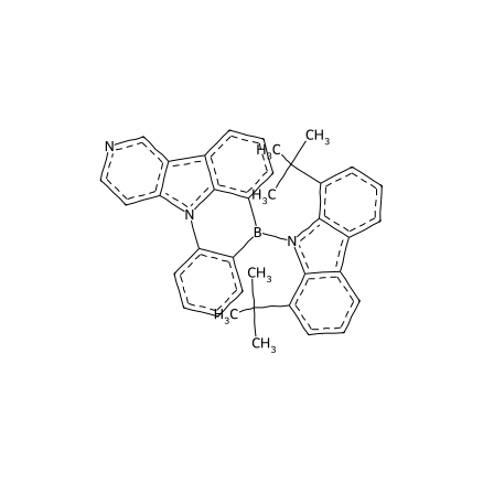 CC(C)(C)c1cccc2c3cccc(C(C)(C)C)c3n(B3c4ccccc4-n4c5ccncc5c5cccc3c54)c12